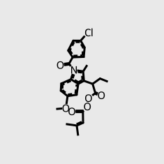 CCC(C(=O)OOC(=O)C=C(C)C)c1c(C)n(C(=O)c2ccc(Cl)cc2)c2ccc(OC)cc12